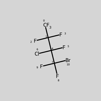 FC(F)(F)C(F)(F)C(F)(Cl)C(F)(F)Br